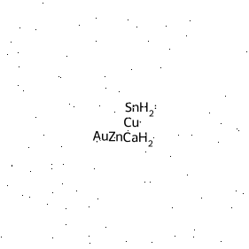 [Au].[CaH2].[Cu].[SnH2].[Zn]